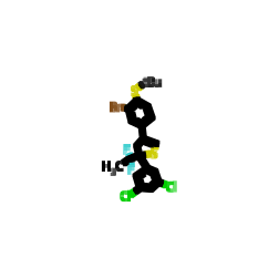 CC(C)(C)Sc1ccc(C2=CSC(c3cc(Cl)cc(Cl)c3)(C(C)(F)F)C2)cc1Br